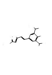 Cc1cc(C=Cc2cc(C(C)C)c(O)c(C(C)C)c2)on1